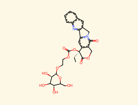 CC[C@@]1(OC(=O)OCCOC2OC(CO)[C@@H](O)C(O)[C@H]2O)C(=O)OCc2c1cc1n(c2=O)Cc2cc3ccccc3nc2-1